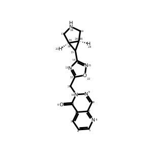 O=c1c2cccnc2cnn1Cc1nc(C2[C@H]3CNC[C@@H]23)no1